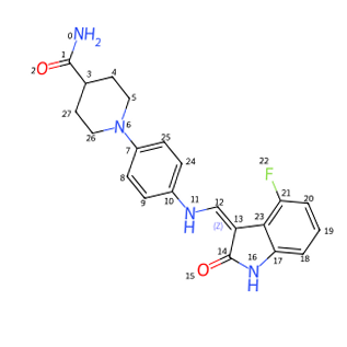 NC(=O)C1CCN(c2ccc(N/C=C3\C(=O)Nc4cccc(F)c43)cc2)CC1